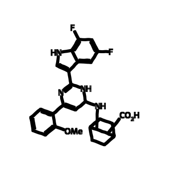 COc1ccccc1C1=CC(NC2C3CCC(CC3)C2C(=O)O)NC(c2c[nH]c3c(F)cc(F)cc23)=N1